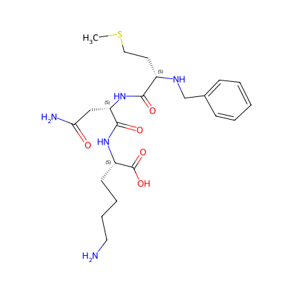 CSCC[C@H](NCc1ccccc1)C(=O)N[C@@H](CC(N)=O)C(=O)N[C@@H](CCCCN)C(=O)O